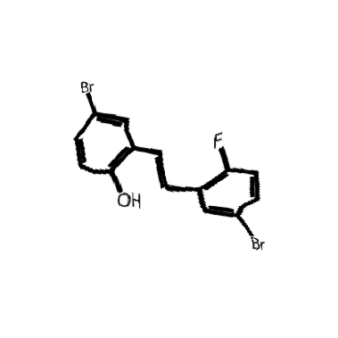 Oc1ccc(Br)cc1/C=C/c1cc(Br)ccc1F